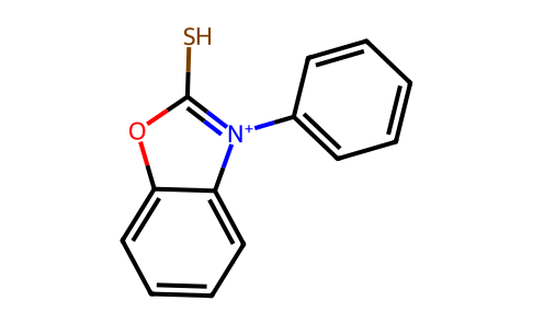 Sc1oc2ccccc2[n+]1-c1ccccc1